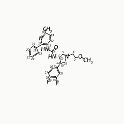 COCCN1C[C@@H](NC(=O)Nc2ccc(C)nc2-c2ccccc2)[C@H](c2ccc(F)c(F)c2)C1